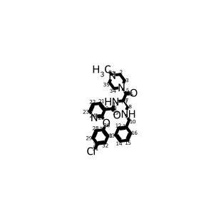 CN1CCN(C(=O)[C@@H](CNCc2ccccc2)NC(=O)c2cccnc2Oc2ccc(Cl)cc2)CC1